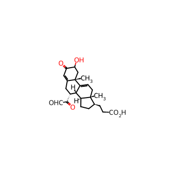 C[C@]12CC(O)C(=O)C=C1C[C@@H](C(=O)C=O)[C@@H]1C2=CC[C@]2(C)[C@@H](CCC(=O)O)CC[C@@H]12